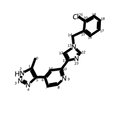 Cc1[nH]nnc1-c1ccnc(-c2cn(Cc3ccccc3Cl)cn2)c1